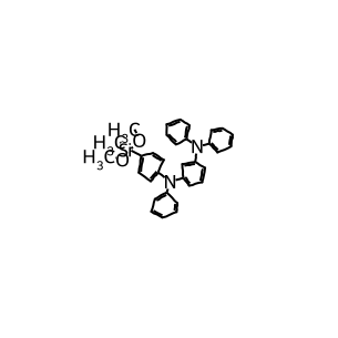 CO[Si](C)(OC)c1ccc(N(c2ccccc2)c2cccc(N(c3ccccc3)c3ccccc3)c2)cc1